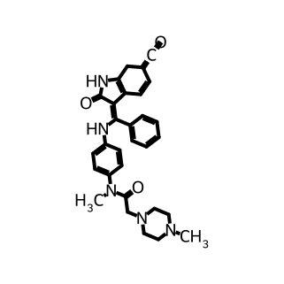 CN1CCN(CC(=O)N(C)c2ccc(N/C(=C3\C(=O)NC4=C3C=CC(=C=O)C4)c3ccccc3)cc2)CC1